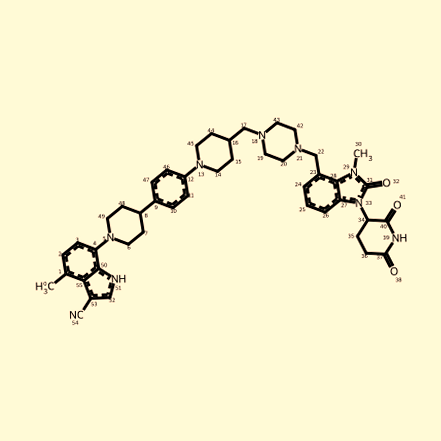 Cc1ccc(N2CCC(c3ccc(N4CCC(CN5CCN(Cc6cccc7c6n(C)c(=O)n7C6CCC(=O)NC6=O)CC5)CC4)cc3)CC2)c2[nH]cc(C#N)c12